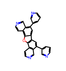 c1cncc(-c2cc3c4cc(-c5cccnc5)c5cnccc5c4oc3c3ccncc23)c1